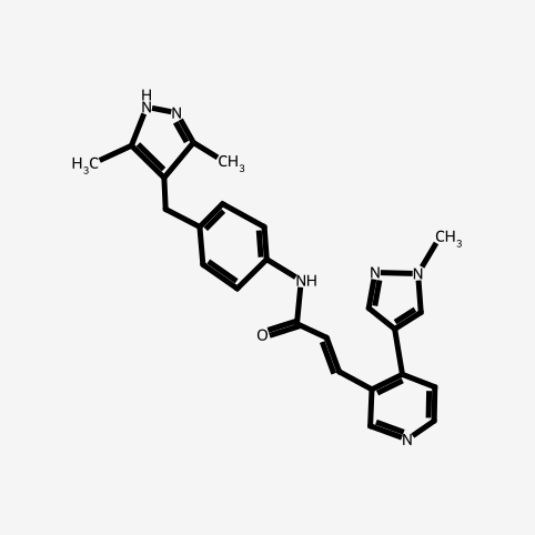 Cc1n[nH]c(C)c1Cc1ccc(NC(=O)C=Cc2cnccc2-c2cnn(C)c2)cc1